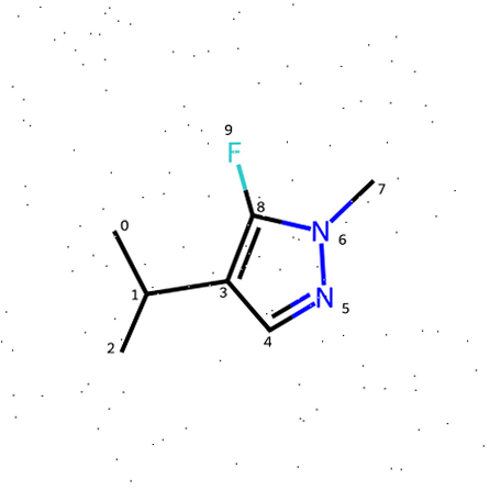 CC(C)c1cnn(C)c1F